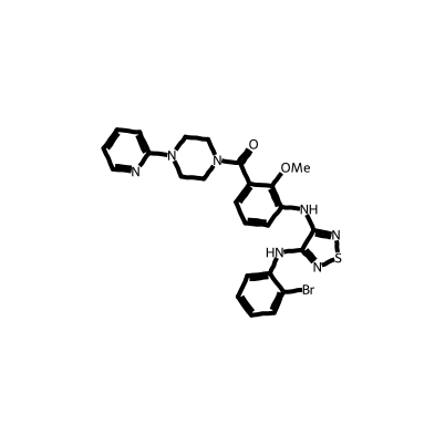 COc1c(Nc2nsnc2Nc2ccccc2Br)cccc1C(=O)N1CCN(c2ccccn2)CC1